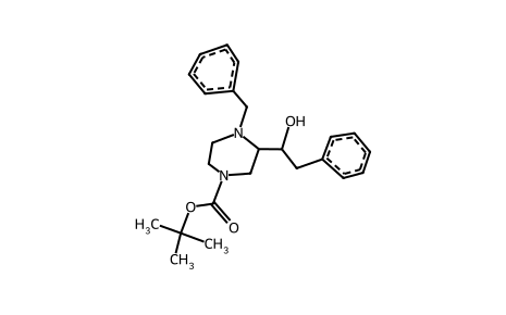 CC(C)(C)OC(=O)N1CCN(Cc2ccccc2)C(C(O)Cc2ccccc2)C1